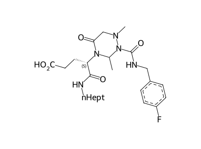 CCCCCCCNC(=O)[C@H](CCC(=O)O)N1C(=O)CN(C)N(C(=O)NCc2ccc(F)cc2)C1C